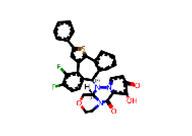 O=C1c2c(O)c(=O)ccn2N([C@H]2c3ccccc3-c3sc(-c4ccccc4)cc3-c3c2ccc(F)c3F)[C@H]2COCCN12